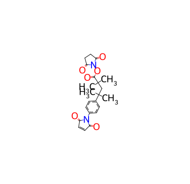 CC(C)(CC(C)(C)c1ccc(N2C(=O)C=CC2=O)cc1)C(=O)ON1C(=O)CCC1=O